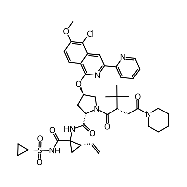 C=C[C@@H]1CC1(NC(=O)[C@@H]1C[C@@H](Oc2nc(-c3ccccn3)cc3c(Cl)c(OC)ccc23)CN1C(=O)[C@@H](CC(=O)N1CCCCC1)C(C)(C)C)C(=O)NS(=O)(=O)C1CC1